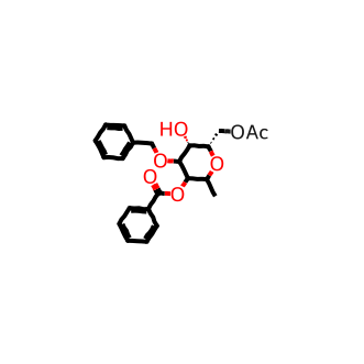 CC(=O)OC[C@@H]1OC(C)C(OC(=O)c2ccccc2)C(OCc2ccccc2)[C@@H]1O